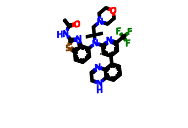 CC(=O)Nc1nc2c(N(c3[c]c(-c4cccc5c4N=CCN5)cc(C(F)(F)F)n3)C(C)(C)CN3CCOCC3)cccc2s1